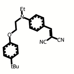 CCN(CCOc1ccc(C(C)(C)C)cc1)c1ccc(C=C(C#N)C#N)cc1